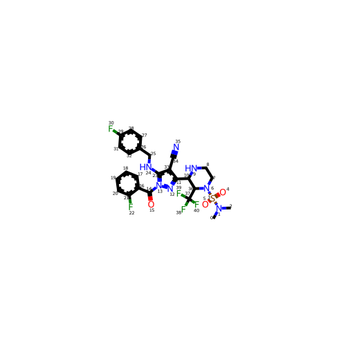 CN(C)S(=O)(=O)N1CCNC(c2nn(C(=O)c3ccccc3F)c(NCc3ccc(F)cc3)c2C#N)C1C(F)(F)F